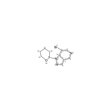 Brc1cncc2cnn(C3CCCCO3)c12